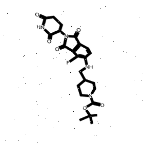 CC(C)(C)OC(=O)N1CCC(CNc2ccc3c(c2F)C(=O)N(C2CCC(=O)NC2=O)C3=O)CC1